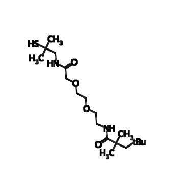 CC(C)(C)CC(C)(C)C(=O)NCCOCCOCC(=O)NCC(C)(C)S